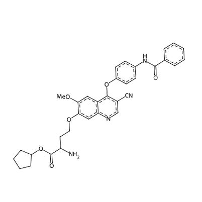 COc1cc2c(Oc3ccc(NC(=O)c4ccccc4)cc3)c(C#N)cnc2cc1OCCC(N)C(=O)OC1CCCC1